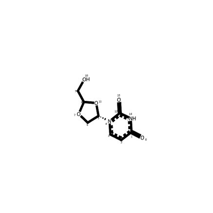 O=c1ccn([C@@H]2COC(CO)O2)c(=O)[nH]1